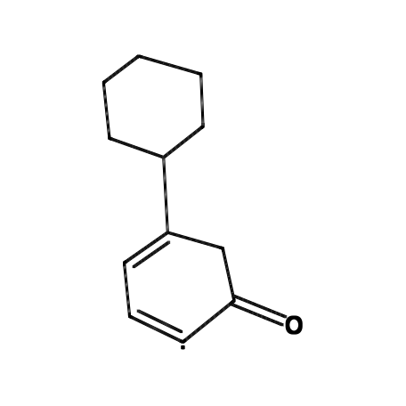 O=C1[C]=CC=C(C2CCCCC2)C1